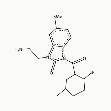 CSc1ccc2c(c1)n(CCN)c(=O)n2C(=O)C1CC(C)CCC1C(C)C